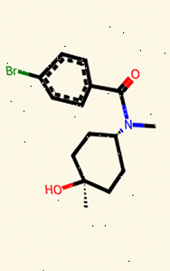 CN(C(=O)c1ccc(Br)cc1)[C@H]1CC[C@](C)(O)CC1